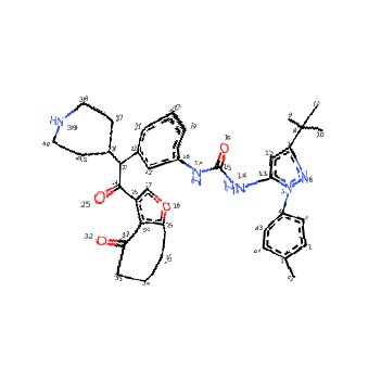 Cc1ccc(-n2nc(C(C)(C)C)cc2NC(=O)Nc2cccc(C(C(=O)c3coc4c3C(=O)CCC4)C3CCNCC3)c2)cc1